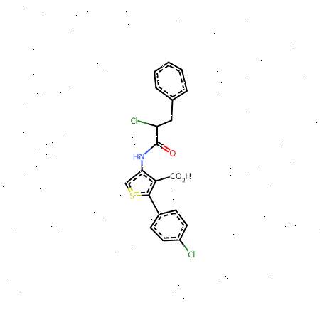 O=C(O)c1c(NC(=O)C(Cl)Cc2ccccc2)csc1-c1ccc(Cl)cc1